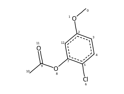 COc1ccc(Cl)c(OC(C)=O)c1